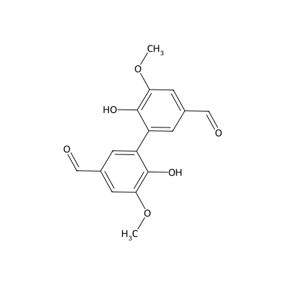 COc1cc(C=O)cc(-c2cc(C=O)cc(OC)c2O)c1O